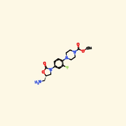 CC(C)(C)OC(=O)N1CCN(c2ccc(N3C[C@H](CN)OC3=O)cc2F)CC1